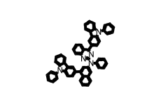 c1ccc(N(c2cc(-c3ccc4c(c3)c3ccccc3n4-c3ccccc3)c3ccccc3c2)c2nc(-c3ccc4c(c3)c3ccccc3n4-c3ccccc3)c3ccccc3n2)cc1